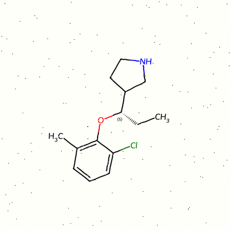 CC[C@H](Oc1c(C)cccc1Cl)C1CCNC1